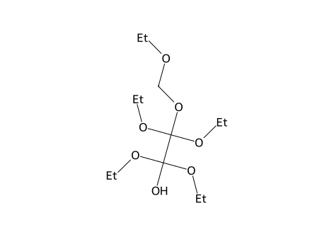 CCOCOC(OCC)(OCC)C(O)(OCC)OCC